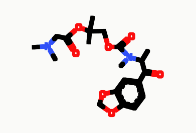 CC(C(=O)c1ccc2c(c1)OCO2)N(C)C(=O)OCC(C)(C)OC(=O)CN(C)C